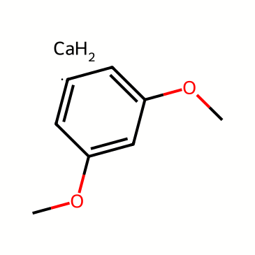 COc1c[c]cc(OC)c1.[CaH2]